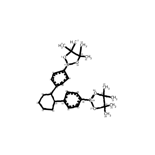 CC1(C)OB(c2ccc(C3CCCCC3c3ccc(B4OC(C)(C)C(C)(C)O4)cc3)cc2)OC1(C)C